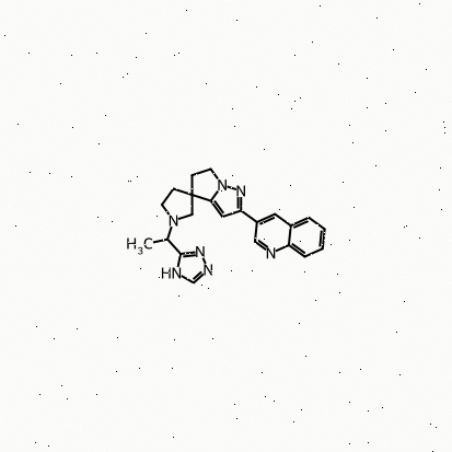 CC(c1nnc[nH]1)N1CCC2(CCn3nc(-c4cnc5ccccc5c4)cc32)C1